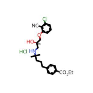 CCOC(=O)c1ccc(CCCC(C)(C)NC[C@@H](O)COc2cccc(Cl)c2C#N)cc1.Cl